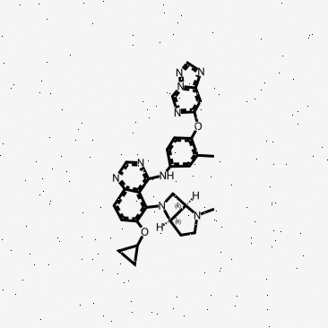 Cc1cc(Nc2ncnc3ccc(OC4CC4)c(N4C[C@@H]5[C@H]4CCN5C)c23)ccc1Oc1cc2ncnn2cn1